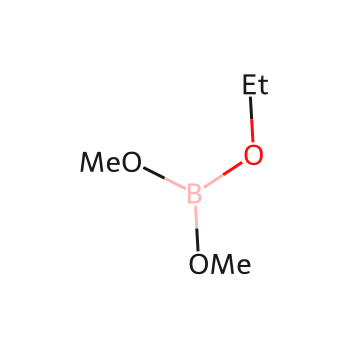 CCOB(OC)OC